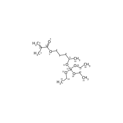 C=C(C)C(=O)OCCCC(C)O[Si](OCC)(OCC)OCC